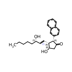 CCCCC[C@H](O)/C=C/[C@H]1[C@H](O)CC(=O)[C@H]1c1ccc2ccccc2c1